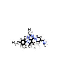 [C-]#[N+]CC1CCN(c2nc(C)nc3c2c(C)c(C)n3-c2c(C)cc(C)cc2C)CC1